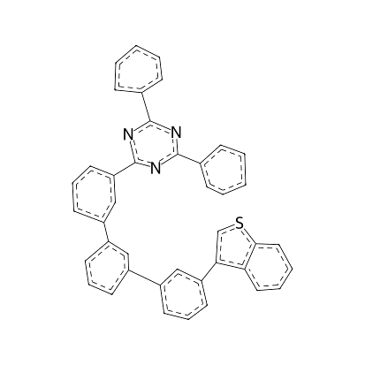 c1ccc(-c2nc(-c3ccccc3)nc(-c3cccc(-c4cccc(-c5cccc(-c6csc7ccccc67)c5)c4)c3)n2)cc1